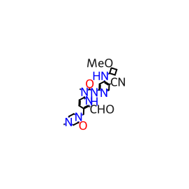 COC1CCC1Nc1cc(NC(=O)N(C)c2ccc(CN3CCN(C)CC3=O)c(C=O)n2)ncc1C#N